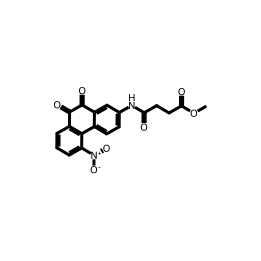 COC(=O)CCC(=O)Nc1ccc2c(c1)C(=O)C(=O)c1cccc([N+](=O)[O-])c1-2